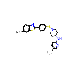 N#Cc1ccc2nc(-c3ccc(SN4CCC(Nc5ccc(C(F)(F)F)cn5)CC4)cc3)sc2c1